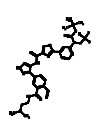 CN(C)CCNC(=O)c1cc(-c2n[nH]cc2NC(=O)c2coc(-c3ccnc(N(CC(F)(F)F)C(=O)OC(C)(C)C)c3)n2)ccc1C=O